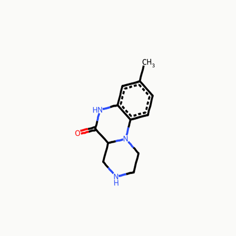 Cc1ccc2c(c1)NC(=O)C1CNCCN21